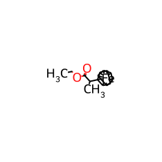 CCOC(=O)C(C)[C]12[CH]3[CH]4[CH]5[CH]1[Fe]45321678[CH]2[CH]1[CH]6[CH]7[CH]28